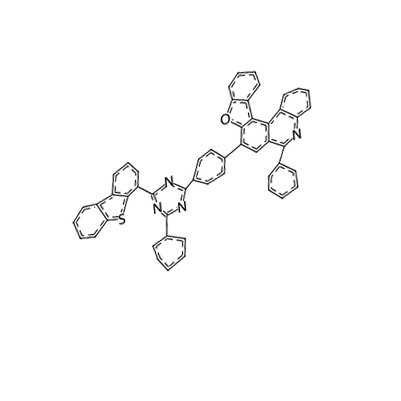 c1ccc(-c2nc(-c3ccc(-c4cc5c(-c6ccccc6)nc6ccccc6c5c5c4oc4ccccc45)cc3)nc(-c3cccc4c3sc3ccccc34)n2)cc1